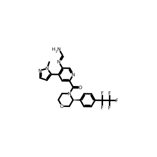 Cn1nccc1-c1cc(C(=O)N2CCOC[C@@H]2c2ccc(C(F)(F)C(F)(F)F)cc2)ncc1/N=C/N